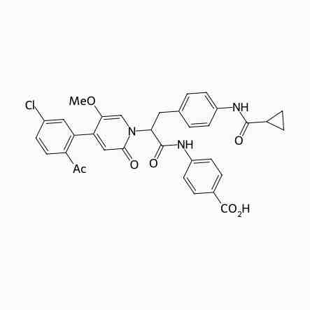 COc1cn(C(Cc2ccc(NC(=O)C3CC3)cc2)C(=O)Nc2ccc(C(=O)O)cc2)c(=O)cc1-c1cc(Cl)ccc1C(C)=O